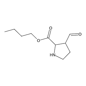 CCCCOC(=O)C1NCCC1C=O